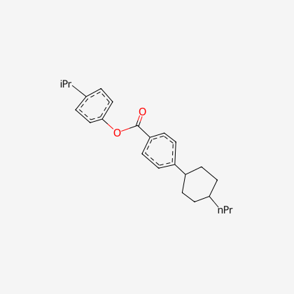 CCCC1CCC(c2ccc(C(=O)Oc3ccc(C(C)C)cc3)cc2)CC1